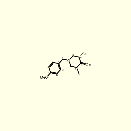 COc1ccc(CN2C[C@H](C)C(=O)[C@@H](C)C2)cc1